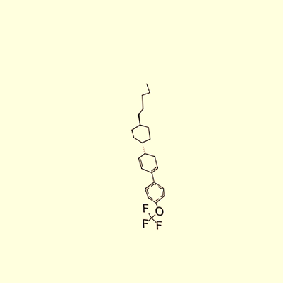 CCCCC[C@H]1CC[C@H](C2C=CC(c3ccc(OC(F)(F)F)cc3)=CC2)CC1